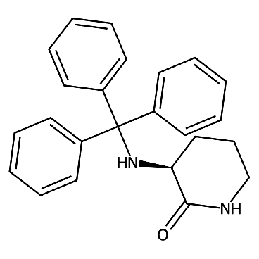 O=C1NCCC[C@@H]1NC(c1ccccc1)(c1ccccc1)c1ccccc1